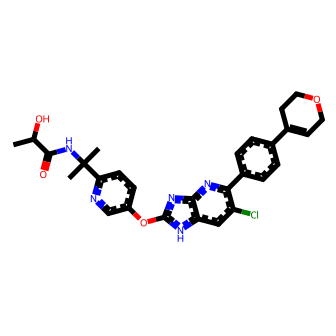 CC(O)C(=O)NC(C)(C)c1ccc(Oc2nc3nc(-c4ccc(C5=CCOCC5)cc4)c(Cl)cc3[nH]2)cn1